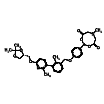 Cc1nc(OC[C@@H]2COC(C)(C)O2)ccc1-c1cccc(COc2ccc(B3OC(=O)CN(C)CC(=O)O3)cc2)c1C